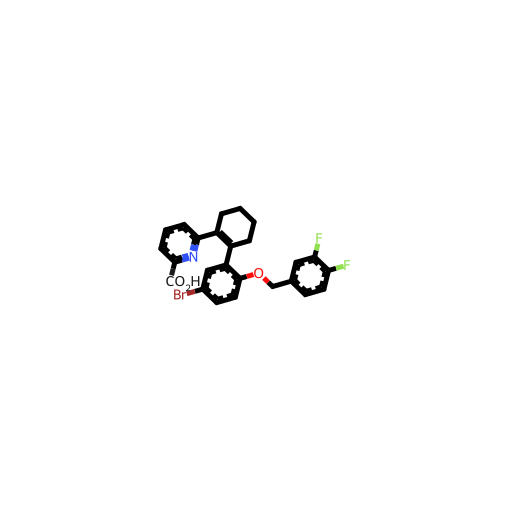 O=C(O)c1cccc(C2=C(c3cc(Br)ccc3OCc3ccc(F)c(F)c3)CCCC2)n1